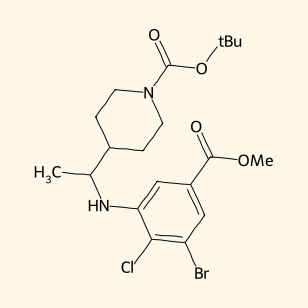 COC(=O)c1cc(Br)c(Cl)c(NC(C)C2CCN(C(=O)OC(C)(C)C)CC2)c1